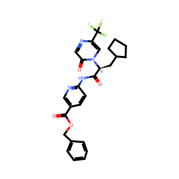 O=C(OCc1ccccc1)c1ccc(NC(=O)[C@H](CC2CCCC2)n2cc(C(F)(F)F)ncc2=O)nc1